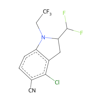 N#Cc1ccc2c(c1Cl)CC(C(F)F)N2CC(F)(F)F